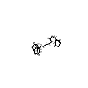 C1=CCC=c2c(CCCCC34CC5CC(CC(C5)C3)C4)ccnc2=1